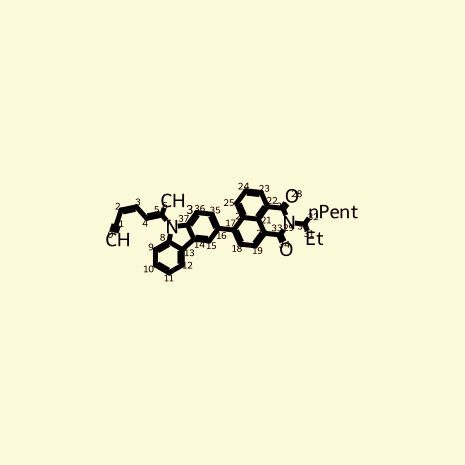 C#C/C=C\C=C(/C)n1c2ccccc2c2cc(-c3ccc4c5c(cccc35)C(=O)N(C(CC)CCCCC)C4=O)ccc21